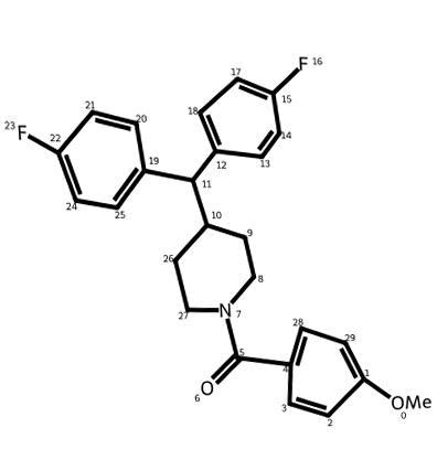 COc1ccc(C(=O)N2CCC(C(c3ccc(F)cc3)c3ccc(F)cc3)CC2)cc1